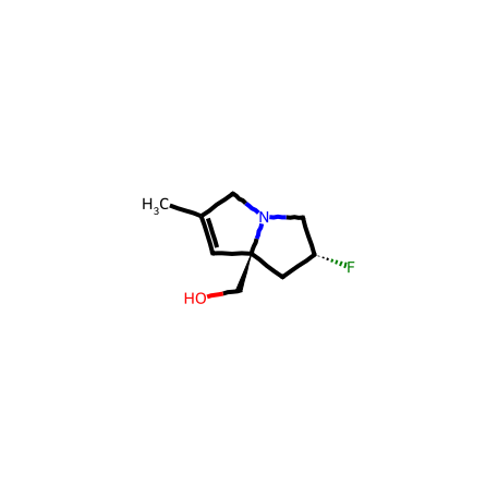 CC1=C[C@@]2(CO)C[C@@H](F)CN2C1